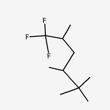 CC(CC(C)C(F)(F)F)C(C)(C)C